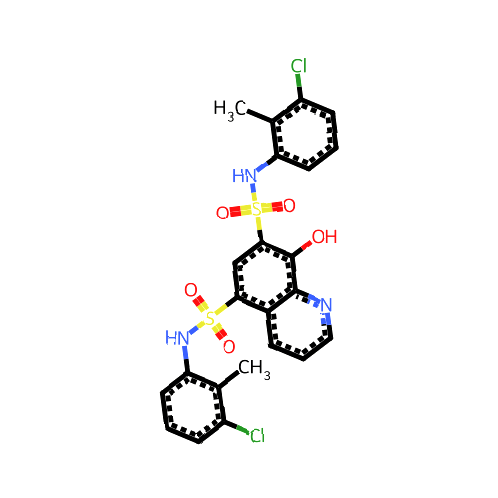 Cc1c(Cl)cccc1NS(=O)(=O)c1cc(S(=O)(=O)Nc2cccc(Cl)c2C)c2cccnc2c1O